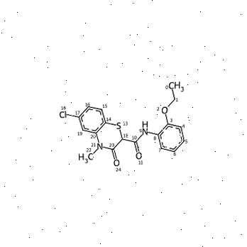 CCOc1ccccc1NC(=O)C1Sc2ccc(Cl)cc2N(C)C1=O